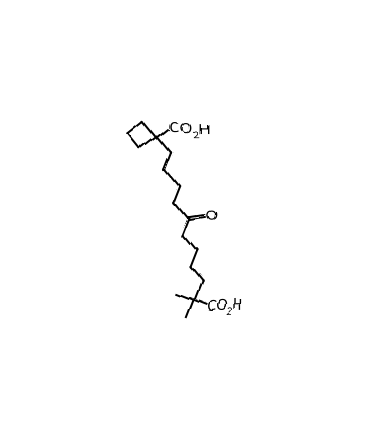 CC(C)(CCCCC(=O)CCCCC1(C(=O)O)CCC1)C(=O)O